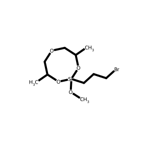 CO[Si]1(CCCBr)OC(C)COCC(C)O1